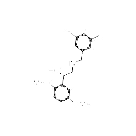 COc1ccc(OC)c([C@@H](O)CNCc2cc(C)cc(F)c2)c1